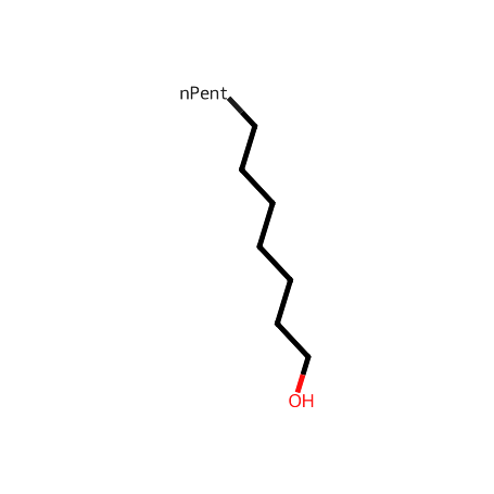 [CH2]CCCCCCCCCCCO